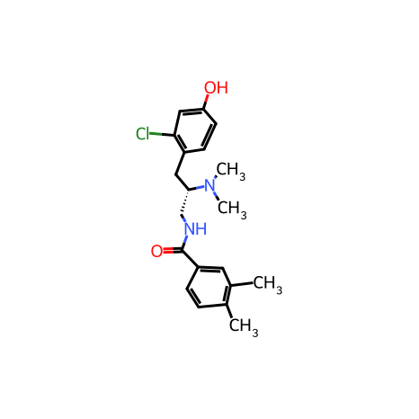 Cc1ccc(C(=O)NC[C@H](Cc2ccc(O)cc2Cl)N(C)C)cc1C